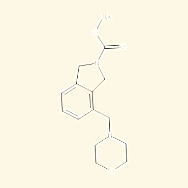 CC(C)(C)OC(=O)N1Cc2cccc(CN3CCOCC3)c2C1